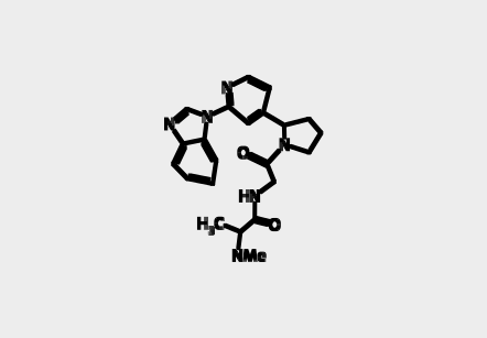 CNC(C)C(=O)NCC(=O)N1CCCC1c1ccnc(-n2cnc3ccccc32)c1